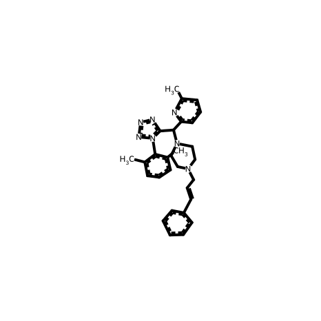 Cc1cccc(C(c2nnnn2-c2c(C)cccc2C)N2CCN(C/C=C/c3ccccc3)CC2)n1